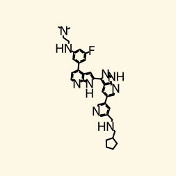 CN(C)CCNc1cc(F)cc(-c2ccnc3[nH]c(-c4n[nH]c5ncc(-c6cncc(CNCC7CCCC7)c6)cc45)cc23)c1